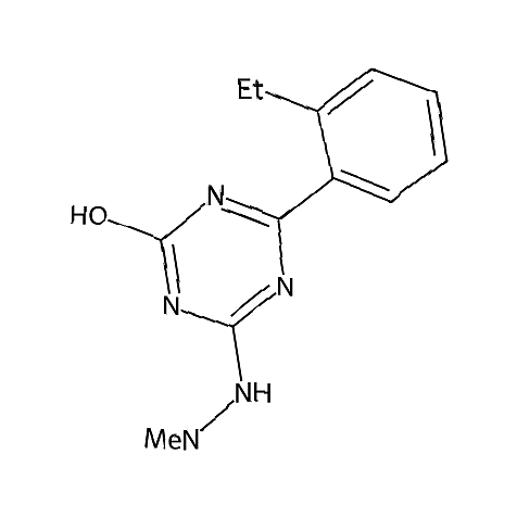 CCc1ccccc1-c1nc(O)nc(NNC)n1